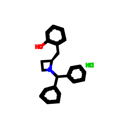 Cl.Oc1ccccc1C[C@@H]1CCN1C(c1ccccc1)c1ccccc1